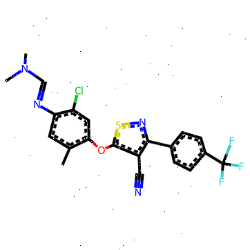 Cc1cc(N=CN(C)C)c(Cl)cc1Oc1snc(-c2ccc(C(F)(F)F)cc2)c1C#N